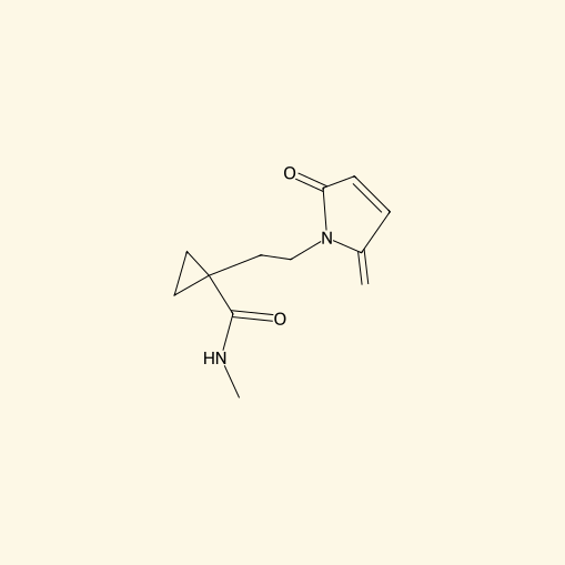 C=C1C=CC(=O)N1CCC1(C(=O)NC)CC1